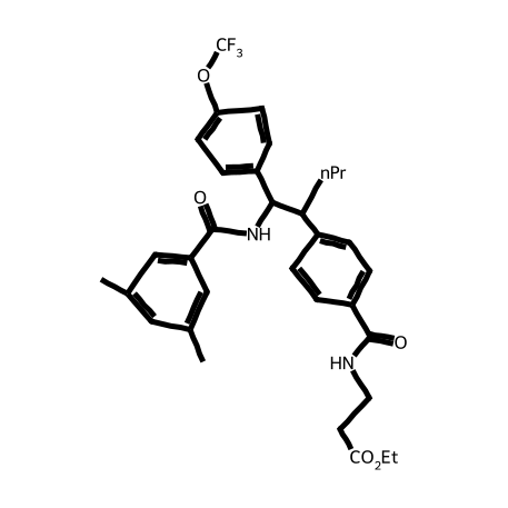 CCCC(c1ccc(C(=O)NCCC(=O)OCC)cc1)C(NC(=O)c1cc(C)cc(C)c1)c1ccc(OC(F)(F)F)cc1